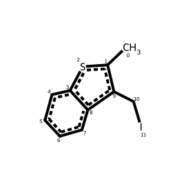 Cc1sc2ccccc2c1CI